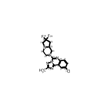 Cc1nc2c3cc(Cl)ccc3nc(N3CCN4CC(F)(F)CC4C3)n2n1